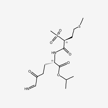 CSCC[C@@H](C(=O)N[C@@H](CCC(=O)C=N)C(=O)OC(C)C)S(C)(=O)=O